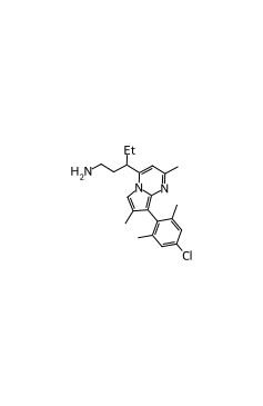 CCC(CCN)c1cc(C)nc2c(-c3c(C)cc(Cl)cc3C)c(C)cn12